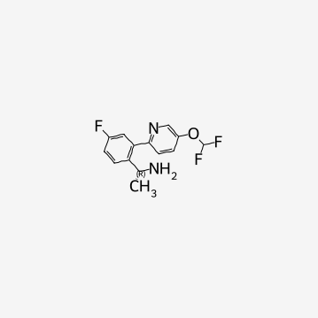 C[C@@H](N)c1ccc(F)cc1-c1ccc(OC(F)F)cn1